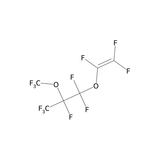 FC(F)=C(F)OC(F)(F)C(F)(OC(F)(F)F)C(F)(F)F